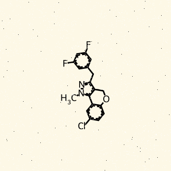 Cn1nc(Cc2cc(F)cc(F)c2)c2c1-c1cc(Cl)ccc1OC2